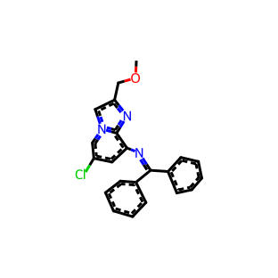 COCc1cn2cc(Cl)cc(N=C(c3ccccc3)c3ccccc3)c2n1